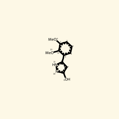 COc1cccc(-c2cc(O)n[nH]2)c1OC